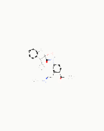 CON=CCc1cc(N(C)C(=O)C(O)(C(c2ccccc2C(F)(F)F)C2CCC2)C(F)(F)F)ccc1C(=O)OC